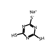 [Na+].[S-]c1nc(S)nc(S)n1